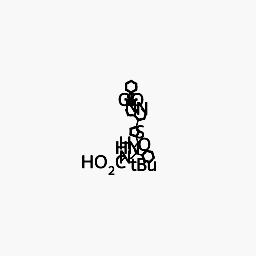 CC(C)(C)C(NC(=O)O)C(NC(=O)c1ccc(-c2ccnc3c2ccn3S(=O)(=O)c2ccccc2)s1)c1ccccc1